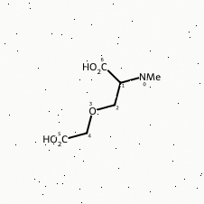 CNC(COCC(=O)O)C(=O)O